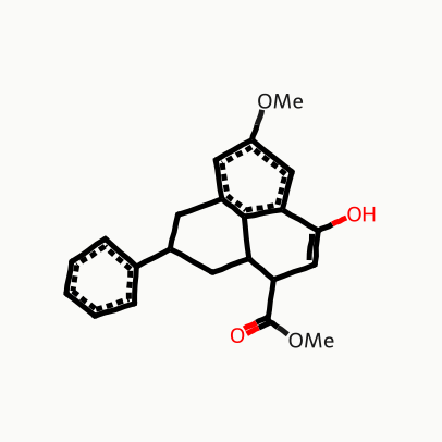 COC(=O)C1C=C(O)c2cc(OC)cc3c2C1CC(c1ccccc1)C3